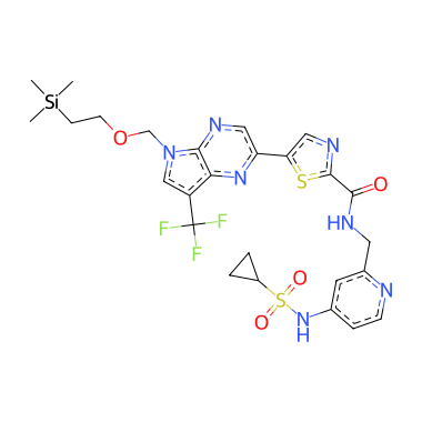 C[Si](C)(C)CCOCn1cc(C(F)(F)F)c2nc(-c3cnc(C(=O)NCc4cc(NS(=O)(=O)C5CC5)ccn4)s3)cnc21